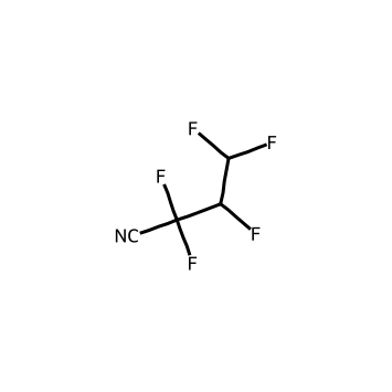 N#CC(F)(F)C(F)C(F)F